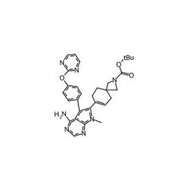 Cn1c(C2=CCC3(CC2)CN(C(=O)OC(C)(C)C)C3)c(-c2ccc(Oc3ncccn3)cc2)c2c(N)ncnc21